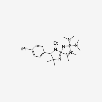 CCN1C(c2ccc(C(C)C)cc2)C(C)(C)N=P1(N=P(N(C)C)(N(C)C)N(C)C)N(C)C